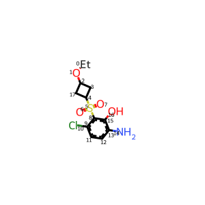 CCOC1CC(S(=O)(=O)c2c(Cl)ccc(N)c2O)C1